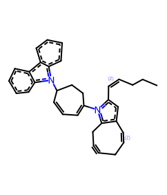 CCC/C=C\c1cc2c(n1C1=CC=CC(n3c4ccccc4c4ccccc43)CC1)CC#CC/C=C\2